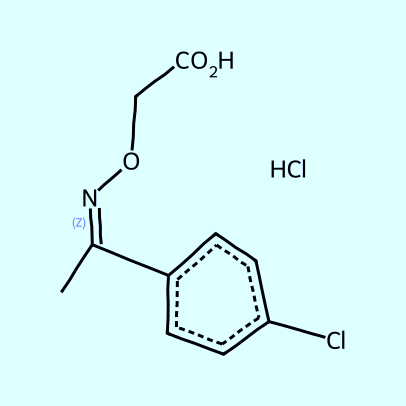 C/C(=N/OCC(=O)O)c1ccc(Cl)cc1.Cl